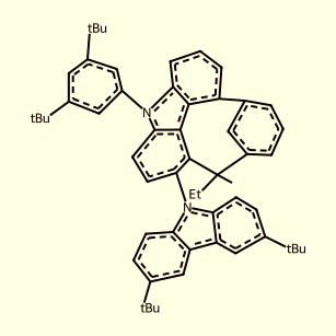 CCC1(C)c2cccc(c2)-c2cccc3c2c2c1c(-n1c4ccc(C(C)(C)C)cc4c4cc(C(C)(C)C)ccc41)ccc2n3-c1cc(C(C)(C)C)cc(C(C)(C)C)c1